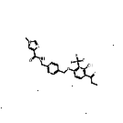 CCC(=O)c1ccc(OCc2ccc(CNC(=O)c3cn(C)cn3)cc2)c(C(F)(F)F)c1O